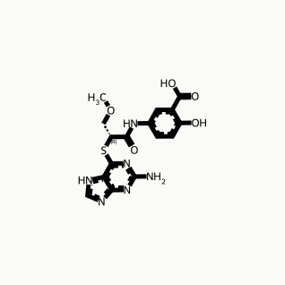 COC[C@@H](Sc1nc(N)nc2nc[nH]c12)C(=O)Nc1ccc(O)c(C(=O)O)c1